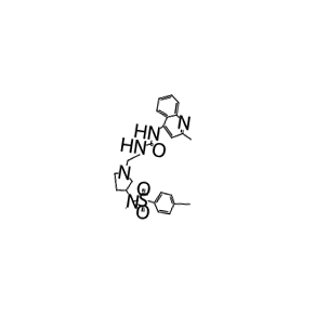 Cc1ccc(S(=O)(=O)N(C)C2CCN(CCNC(=O)Nc3cc(C)nc4ccccc34)C2)cc1